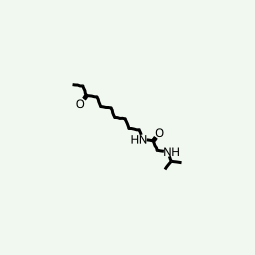 CCC(=O)CCCCCCCNC(=O)CNC(C)C